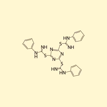 N=C(Nc1ccccc1)Sc1nc(SC(=N)Nc2ccccc2)nc(SC(=N)Nc2ccccc2)n1